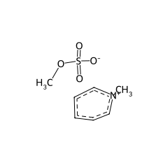 COS(=O)(=O)[O-].C[n+]1ccccc1